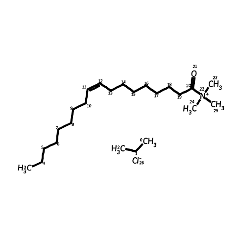 CCC.CCCCCCCC/C=C\CCCCCCCC(=O)[N+](C)(C)C.[Cl-]